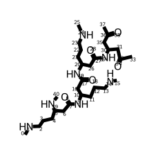 CNCCCC(CC(=O)NC(CCCNC)CC(=O)NC(CCCNC)CC(=O)NC(CC(C)=O)CC(C)=O)NC